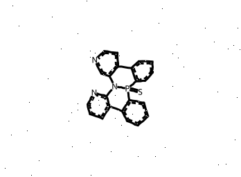 S=P12c3ccccc3-c3ccncc3N1c1ncccc1-c1ccccc12